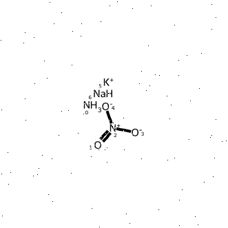 N.O=[N+]([O-])[O-].[K+].[NaH]